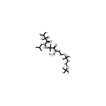 CC(C)C[C@H](NC(C)(C)C(=O)[C@@H](N)CCSC(C)(C)CCOC(C)(C)C)C(=O)C(C)(C)C(C)C